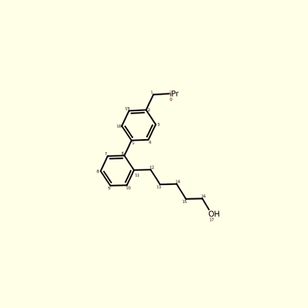 CC(C)Cc1ccc(-c2ccccc2CCCCCO)cc1